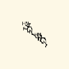 CCN1CCC2(CC1)CNC2(C)CCCN1CCC2(CNC2)C(F)C1